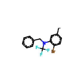 [CH2]c1ccc(Br)c(N(Cc2ccccc2)C(F)(F)F)c1